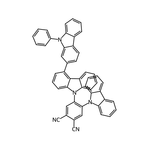 N#Cc1cc(-n2c3ccccc3c3ccccc32)c(-n2c3ccccc3c3c(-c4ccc5c6ccccc6n(-c6ccccc6)c5c4)cccc32)cc1C#N